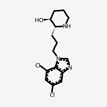 O[C@H]1CCCN[C@@H]1CCCn1cnc2cc(Cl)cc(Cl)c21